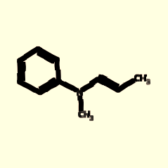 CC=CN(C)c1ccccc1